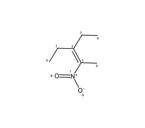 CCC(CC)=C(C)[N+](=O)[O-]